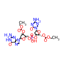 CCOC(=O)OC[C@H]1O[C@@H](n2cnc(N)nc2=O)C[C@H]1OP(=O)(O)OC[C@H]1O[C@@H](n2cnc3c(=O)[nH]c(N)nc32)C[C@H]1OC(=O)OCC